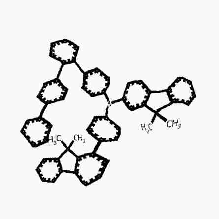 CC1(C)c2ccccc2-c2ccc(N(c3ccc(-c4ccccc4-c4ccc(-c5ccccc5)cc4)cc3)c3ccc(-c4cccc5c4C(C)(C)c4ccccc4-5)cc3)cc21